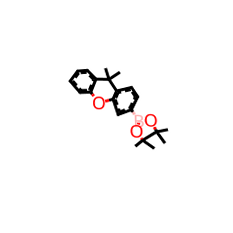 CC1(C)c2ccccc2Oc2cc(B3OC(C)(C)C(C)(C)O3)ccc21